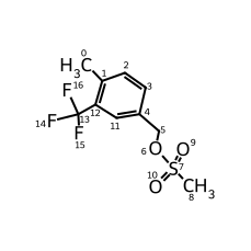 Cc1ccc(COS(C)(=O)=O)cc1C(F)(F)F